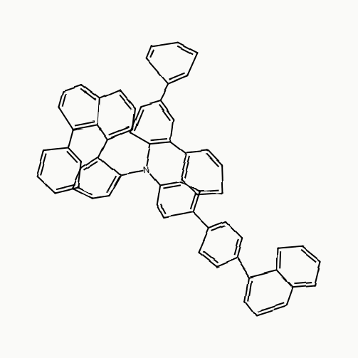 c1ccc(-c2ccc(N(c3ccc(-c4ccc(-c5cccc6ccccc56)cc4)cc3)c3ccccc3-c3cccc4cccc(-c5ccccc5)c34)c(-c3ccccc3)c2)cc1